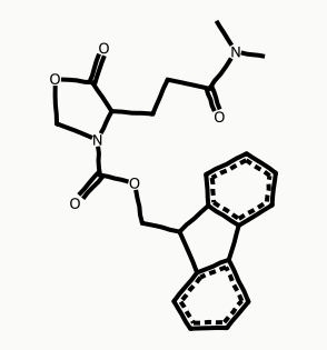 CN(C)C(=O)CCC1C(=O)OCN1C(=O)OCC1c2ccccc2-c2ccccc21